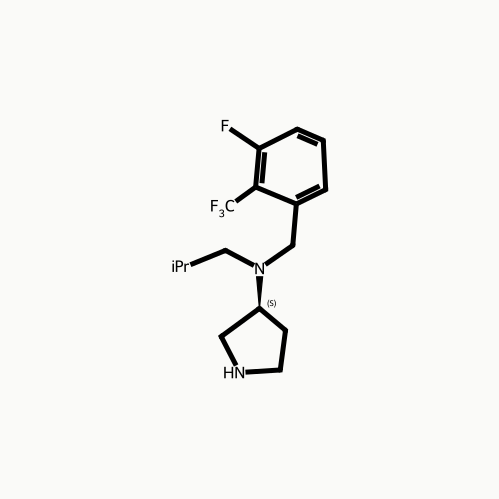 CC(C)CN(Cc1cccc(F)c1C(F)(F)F)[C@H]1CCNC1